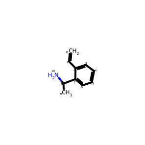 C=Cc1ccccc1C(C)N